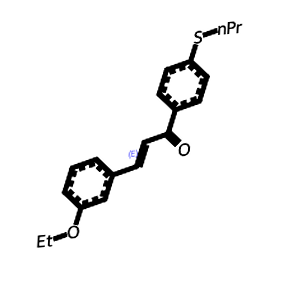 CCCSc1ccc(C(=O)/C=C/c2cccc(OCC)c2)cc1